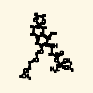 COCCOCOc1cc2c(c(F)c1NCC(=O)OC(C)(C)C)CC1(CC2)OCCO1